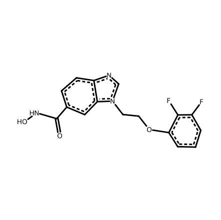 O=C(NO)c1ccc2ncn(CCOc3cccc(F)c3F)c2c1